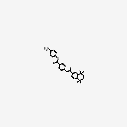 CC(=Cc1ccc(C(=O)Oc2ccc(N)cc2)cc1)c1ccc2c(c1)C(C)(C)CCC2(C)C